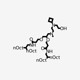 CCCCCCCCC(CCCCCCCC)CNC(=O)CCOCC(CN(C)CCN(CCO)C1CCC1)OCCC(=O)NCC(CCCCCCCC)CCCCCCCC